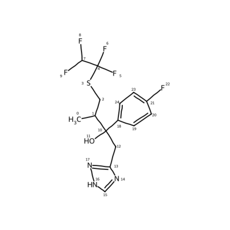 CC(CSC(F)(F)C(F)F)C(O)(Cc1nc[nH]n1)c1ccc(F)cc1